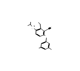 N#Cc1c(Oc2cc(F)cc(Cl)c2)ccc(S(=O)(=O)C(F)F)c1CBr